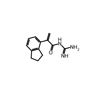 C=C(C(=O)NC(=N)N)c1cccc2c1CCC2